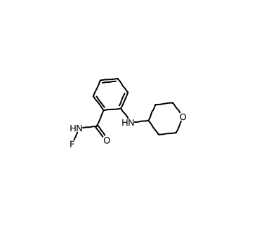 O=C(NF)c1ccccc1NC1CCOCC1